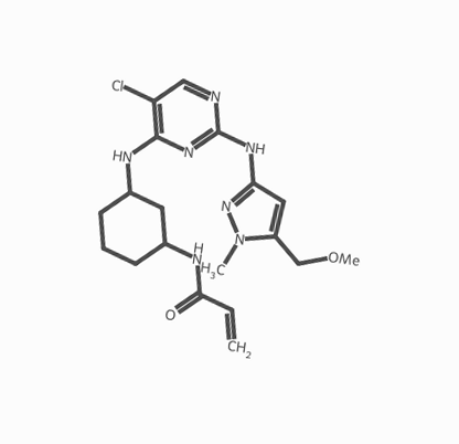 C=CC(=O)NC1CCCC(Nc2nc(Nc3cc(COC)n(C)n3)ncc2Cl)C1